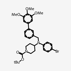 COc1cc(-c2cccc(CN(c3ccc(Br)cc3)C3CCN(C(=O)OC(C)(C)C)CC3)c2)cc(OC)c1OC